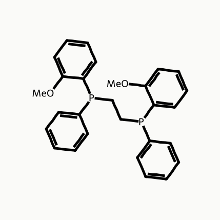 COc1ccccc1P(CCP(c1ccccc1)c1ccccc1OC)c1ccccc1